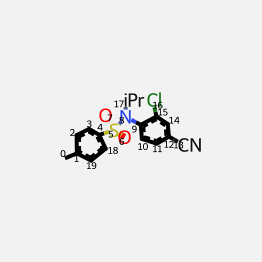 Cc1ccc(S(=O)(=O)N(c2ccc(C#N)cc2Cl)C(C)C)cc1